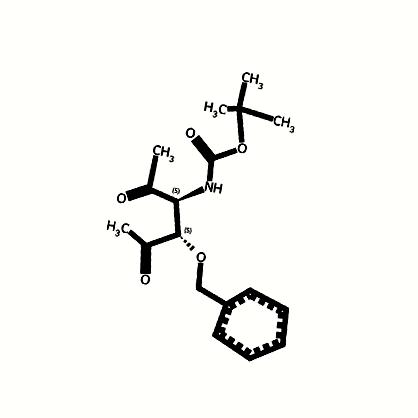 CC(=O)[C@@H](NC(=O)OC(C)(C)C)[C@H](OCc1ccccc1)C(C)=O